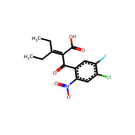 CCC(CC)=C(C(=O)O)C(=O)c1cc(F)c(Cl)cc1[N+](=O)[O-]